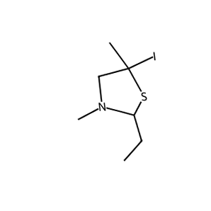 CCC1SC(C)(I)CN1C